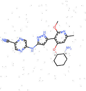 COc1nc(C)cc(O[C@H]2CCCC[C@H]2N)c1-c1cc(Nc2cnc(C#N)cn2)n[nH]1